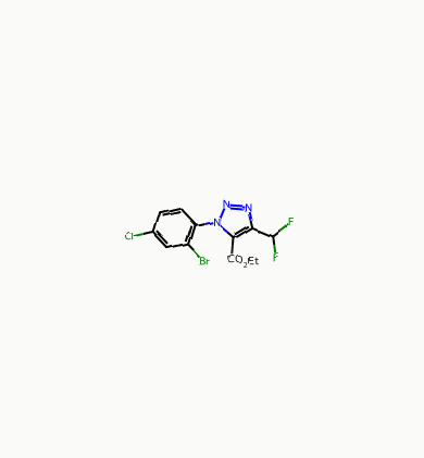 CCOC(=O)c1c(C(F)F)nnn1-c1ccc(Cl)cc1Br